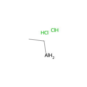 C[CH2][AlH2].Cl.Cl